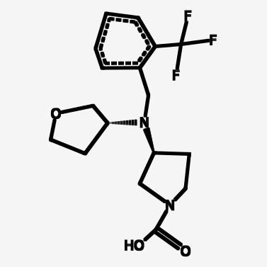 O=C(O)N1CC[C@H](N(Cc2ccccc2C(F)(F)F)[C@@H]2CCOC2)C1